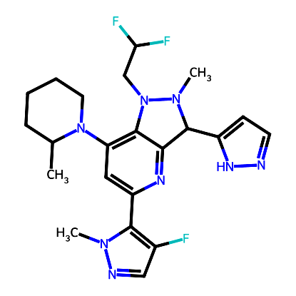 CC1CCCCN1c1cc(-c2c(F)cnn2C)nc2c1N(CC(F)F)N(C)C2c1ccn[nH]1